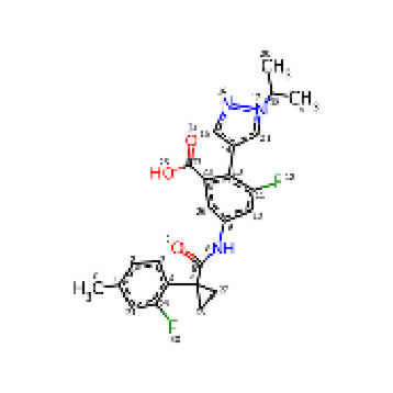 Cc1ccc(C2(C(=O)Nc3cc(F)c(-c4cnn(C(C)C)c4)c(C(=O)O)c3)CC2)c(F)c1